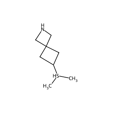 C[SH](C)C1CC2(CNC2)C1